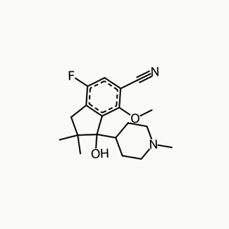 COc1c(C#N)cc(F)c2c1C(O)(C1CCN(C)CC1)C(C)(C)C2